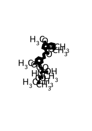 COc1ccc(C=CC(=O)c2ccc(OC)c3c2OC(C)(C)C=C3)cc1OC(=O)C(NC(=O)OC(C)(C)C)C(C)O